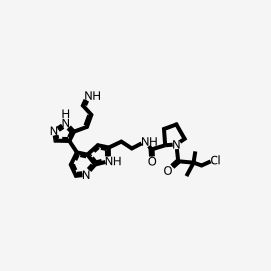 CC(C)(CCl)C(=O)N1CCCC1C(=O)NCCc1cc2c(-c3cn[nH]c3/C=C\C=N)ccnc2[nH]1